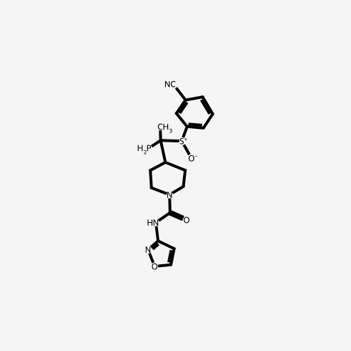 CC(P)(C1CCN(C(=O)Nc2ccon2)CC1)[S+]([O-])c1cccc(C#N)c1